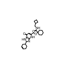 O=C1C=C(COC2(C(=O)NCC3CCC3)CCCCC2)NC2=NC(C3CC=CCC3)NN12